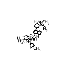 CCN(C1C=C(c2ccc(NC(=O)Nc3cc(C(C)(C)C)nn3-c3ccc(C)nc3)c3ccccc23)CCC1)N(C)C